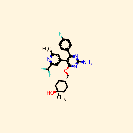 Cc1cc(-c2c(OC[C@H]3CC[C@@](C)(O)CC3)nc(N)nc2-c2ccc(F)cc2)cc(C(F)F)n1